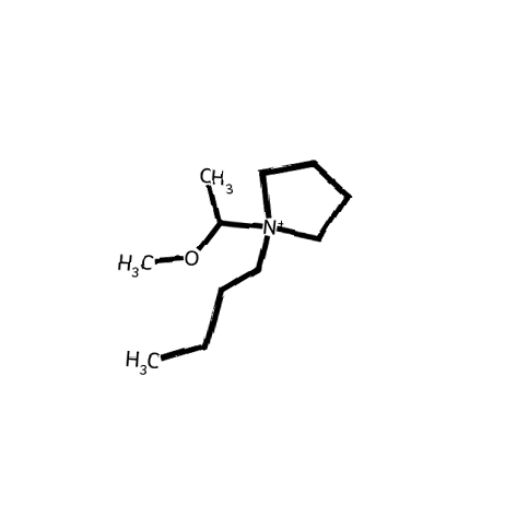 CCCC[N+]1(C(C)OC)CCCC1